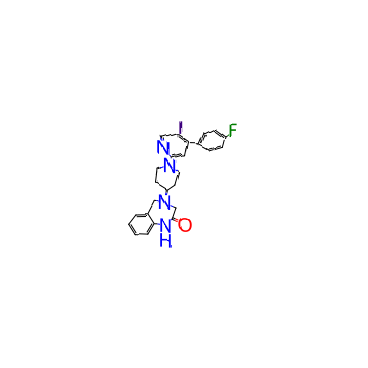 O=C1CN(C2CCN(c3cc(-c4ccc(F)cc4)c(I)cn3)CC2)Cc2ccccc2N1